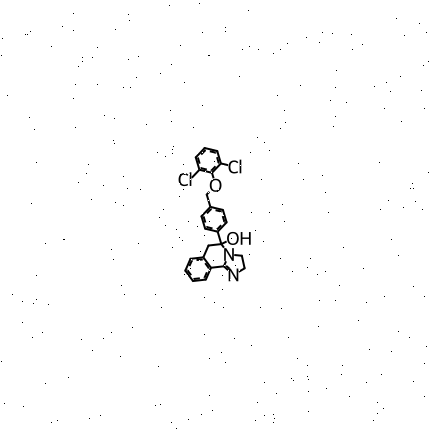 OC1(c2ccc(COc3c(Cl)cccc3Cl)cc2)Cc2ccccc2C2=NCCN21